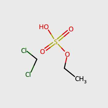 CCOS(=O)(=O)O.ClCCl